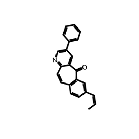 C/C=C\c1ccc2ccc3ncc(-c4ccccc4)cc3c(=O)c2c1